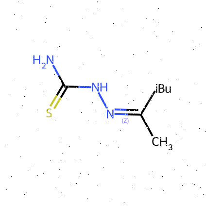 CCC(C)/C(C)=N\NC(N)=S